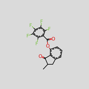 CC1Cc2cccc(OC(=O)c3c(F)c(F)c(F)c(F)c3F)c2C1=O